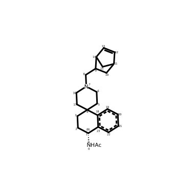 CC(=O)N[C@@H]1CCC2(CCN(CC3CC4C=CC3C4)CC2)c2ccccc21